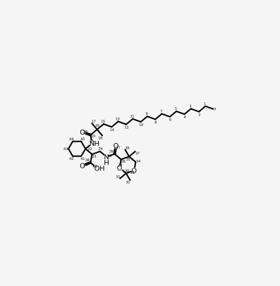 CCCCCCCCCCCCCCCCC(C)(C)C(=O)NC1(C(CNC(=O)C2OC(C)(C)OCC2(C)C)C(=O)O)CCCCC1